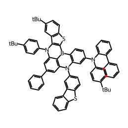 CC(C)(C)c1ccc(N(c2ccc3c(c2)N(c2ccc4sc5ccccc5c4c2)c2cc(-c4ccccc4)cc4c2B3c2sc3ccc(C(C)(C)C)cc3c2N4c2ccc(C(C)(C)C)cc2)c2ccccc2-c2ccccc2)cc1